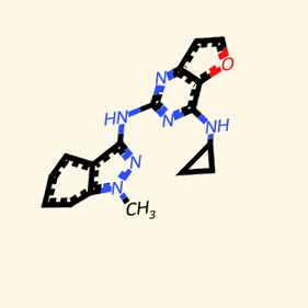 Cn1nc(Nc2nc(NC3CC3)c3occc3n2)c2ccccc21